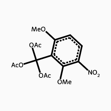 COc1ccc([N+](=O)[O-])c(OC)c1C(OC(C)=O)(OC(C)=O)OC(C)=O